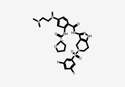 CN(C)CCN(C)c1ccc(C(=O)Nc2n[nH]c3c2CN(S(=O)(=O)c2cc(F)cc(F)c2)CC3)c(NC(=O)[C@@H]2CCCO2)c1